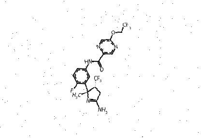 C[C@]1(c2cc(NC(=O)c3cnc(OCC(F)(F)F)cn3)ccc2F)N=C(N)C[C@H]1C(F)(F)F